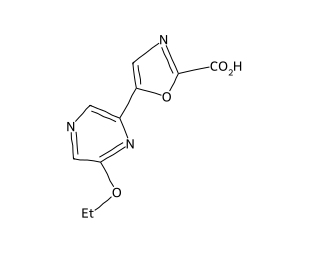 CCOc1cncc(-c2cnc(C(=O)O)o2)n1